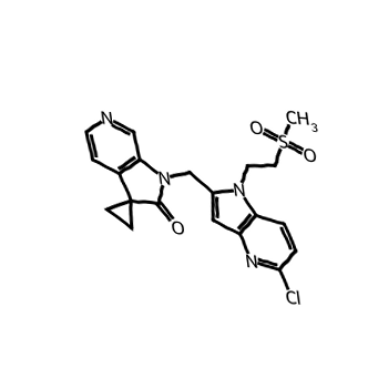 CS(=O)(=O)CCn1c(CN2C(=O)C3(CC3)c3ccncc32)cc2nc(Cl)ccc21